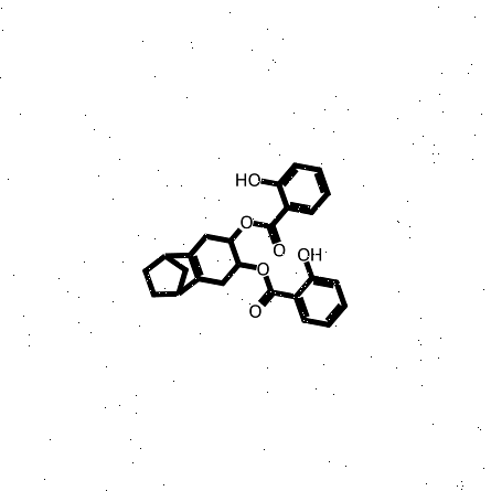 O=C(OC1CC2=C(CC1OC(=O)c1ccccc1O)C1CCC2C1)c1ccccc1O